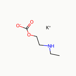 CCNCCOC(=O)[O-].[K+]